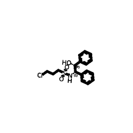 O=S(=O)(CCCCl)N[C@@H](c1ccccc1)[C@H](O)c1ccccc1